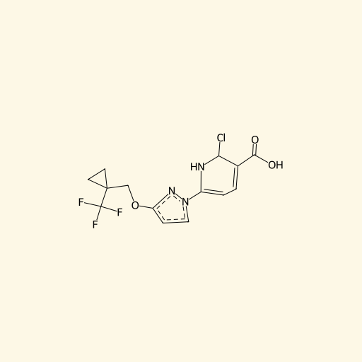 O=C(O)C1=CC=C(n2ccc(OCC3(C(F)(F)F)CC3)n2)NC1Cl